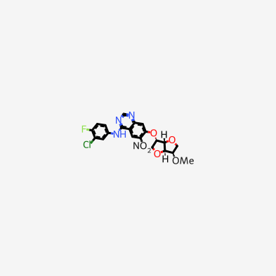 CO[C@@H]1CO[C@@H]2[C@@H]1OC[C@@H]2Oc1cc2ncnc(Nc3ccc(F)c(Cl)c3)c2cc1[N+](=O)[O-]